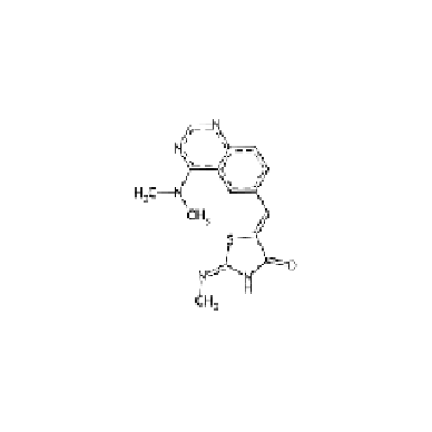 CN=C1NC(=O)C(=Cc2ccc3ncnc(N(C)C)c3c2)S1